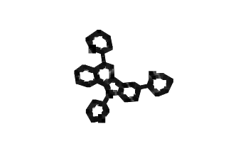 c1ccc(-c2ccc3c(c2)c2cc(-c4ccccn4)c4ccccc4c2n3-c2cccnc2)nc1